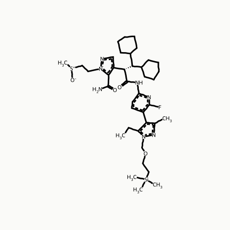 CCc1c(-c2ccc(NC(=O)[C@H](c3cnn(CC[S+](C)[O-])c3C(N)=O)C(C3CCCCC3)C3CCCCC3)nc2F)c(C)nn1COCC[Si](C)(C)C